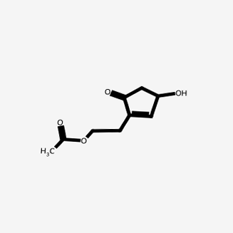 CC(=O)OCCC1=CC(O)CC1=O